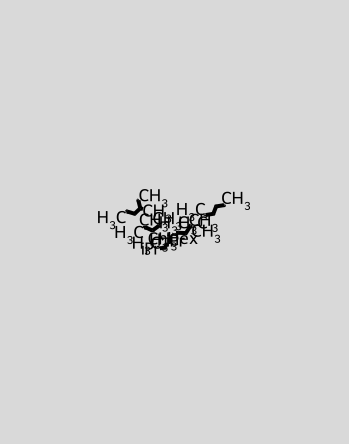 CC(C)CC(C)C.CCC(C)C(C)C.CCCC(C)(C)C.CCCC(C)CC.CCCCC(C)C.CCCCCCC